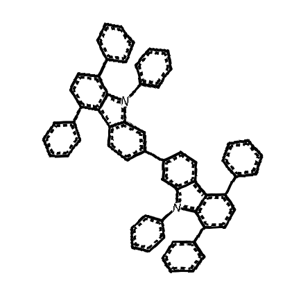 c1ccc(-c2ccc(-c3ccccc3)c3c2c2ccc(-c4ccc5c6c(-c7ccccc7)ccc(-c7ccccc7)c6n(-c6ccccc6)c5c4)cc2n3-c2ccccc2)cc1